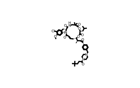 COc1ccc(C[C@H]2NC(=O)/C=C/C[C@@H]([C@H](C)[C@H]3O[C@@H]3c3ccc(CN4CCN(C(=O)CCC(C)(C)C)CC4)cc3)OC(=O)[C@H](CC(C)C)OC(=O)C(C)(C)CNC2=O)cc1Cl